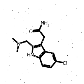 CN(C)Cc1[nH]c2ccc(Cl)cc2c1CC(N)=O